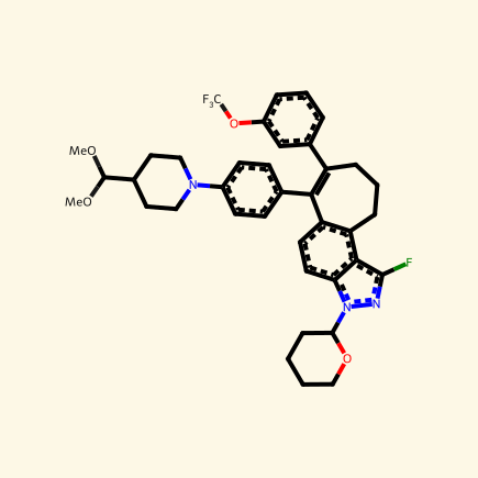 COC(OC)C1CCN(c2ccc(C3=C(c4cccc(OC(F)(F)F)c4)CCCc4c3ccc3c4c(F)nn3C3CCCCO3)cc2)CC1